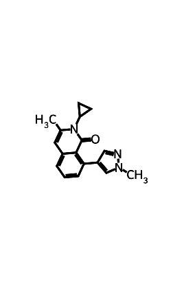 Cc1cc2cccc(-c3cnn(C)c3)c2c(=O)n1C1CC1